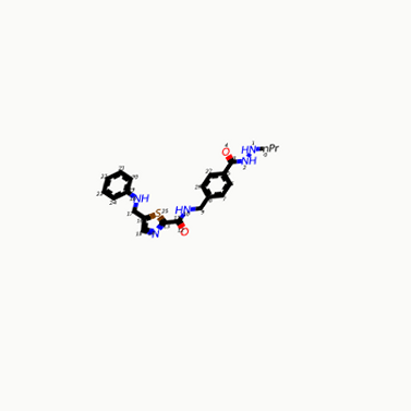 CCCNNC(=O)c1ccc(CNC(=O)c2ncc(CNc3ccccc3)s2)cc1